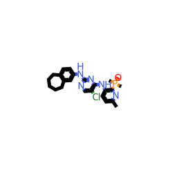 Cc1ccc(Nc2nc(Nc3ccc4c(c3)CCCCC4)ncc2Cl)c(P(C)(C)=O)n1